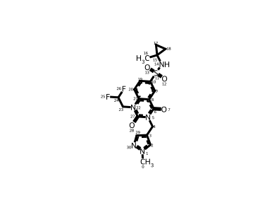 Cn1cc(Cn2c(=O)c3cc(S(=O)(=O)NC4(C)CC4)ccc3n(CC(F)F)c2=O)cn1